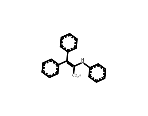 O=C(O)C(Nc1ccccc1)=C(c1ccccc1)c1ccccc1